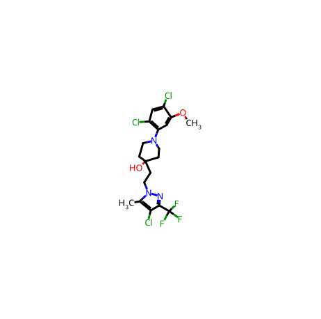 COc1cc(N2CCC(O)(CCn3nc(C(F)(F)F)c(Cl)c3C)CC2)c(Cl)cc1Cl